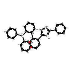 c1ccc(-c2nnc(-c3ccccc3-c3ccccc3N(c3ccccc3)c3ccccc3)o2)cc1